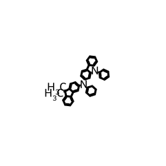 CC1(C)c2ccccc2-c2cc(N(C3=CC=CCC3)c3ccc4c5ccccc5n(-c5ccccc5)c4c3)ccc21